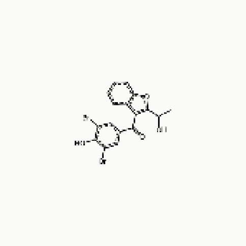 CC(O)c1oc2ccccc2c1C(=O)c1cc(Br)c(O)c(Br)c1